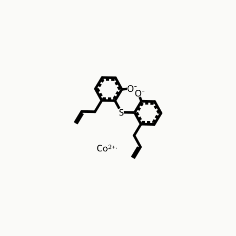 C=CCc1cccc([O-])c1Sc1c([O-])cccc1CC=C.[Co+2]